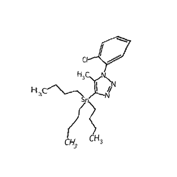 CCC[CH2][Sn]([CH2]CCC)([CH2]CCC)[c]1nnn(-c2ccccc2Cl)c1C